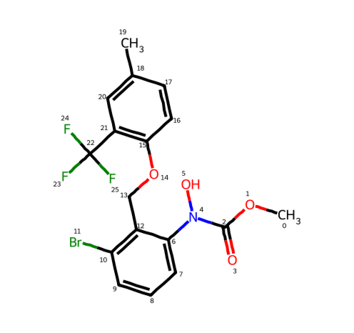 COC(=O)N(O)c1cccc(Br)c1COc1ccc(C)cc1C(F)(F)F